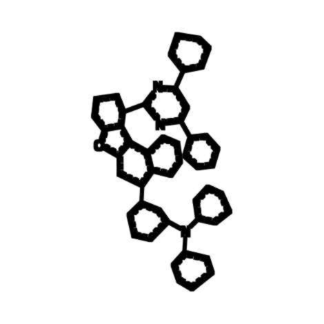 c1ccc(-c2cc(-c3ccccc3)nc(-c3cccc4oc5cc(-c6cccc(N(c7ccccc7)c7ccccc7)c6)c6ccccc6c5c34)n2)cc1